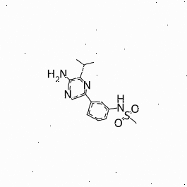 CC(C)c1nc(-c2cccc(NS(C)(=O)=O)c2)cnc1N